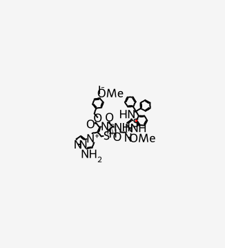 CON=C(C(=O)N[C@@H]1C(=O)N2C(C(=O)OCc3ccc(OC)cc3)=C(C[n+]3ccc(N)n4nccc43)CS[C@@H]12)N1C=C(NC(c2ccccc2)(c2ccccc2)c2ccccc2)SN1.[I-]